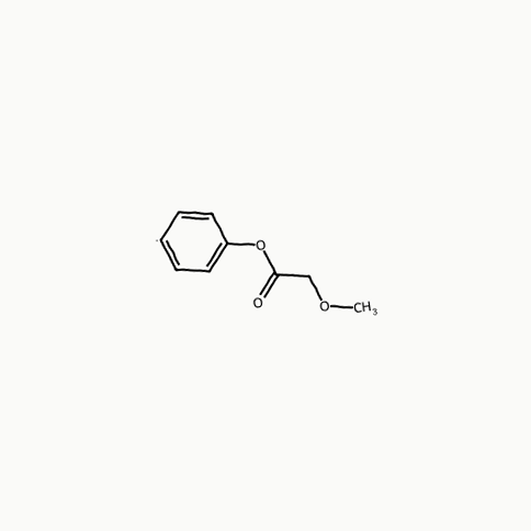 COCC(=O)Oc1cc[c]cc1